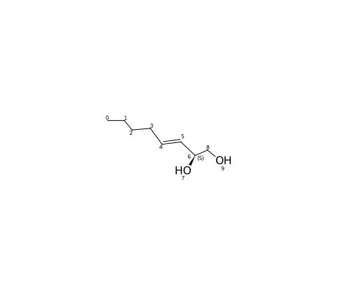 CCCCC=C[C@H](O)CO